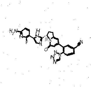 N#Cc1ccc(-n2cnnn2)c(-c2cc3n(c(=O)c2)[C@H](c2ncc(-c4ccc(N)nc4F)[nH]2)CC3)c1